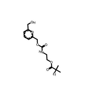 CCC(C)(C)C(=O)OCCNC(=O)OCc1cccc(CO)n1